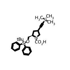 CC(C)(C)[Si](OC[C@H]1CC(C#C[Si](C)(C)C)CN1C(=O)O)(c1ccccc1)c1ccccc1